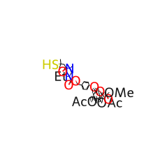 CCN(CN(C)C(=O)CC(C)(C)S)C(=O)OCc1ccc(O[C@H]2C[C@@H](OC(C)=O)[C@H](OC(C)=O)[C@@H](C(=O)OC)O2)cc1